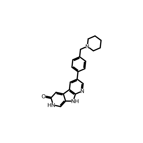 O=c1cc2c(c[nH]1)[nH]c1ncc(-c3ccc(CN4CCCCC4)cc3)cc12